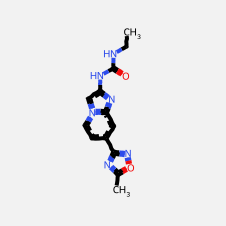 CCNC(=O)Nc1cn2ccc(-c3noc(C)n3)cc2n1